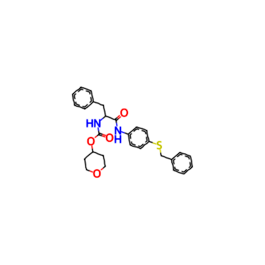 O=C(NC(Cc1ccccc1)C(=O)Nc1ccc(SCc2ccccc2)cc1)OC1CCOCC1